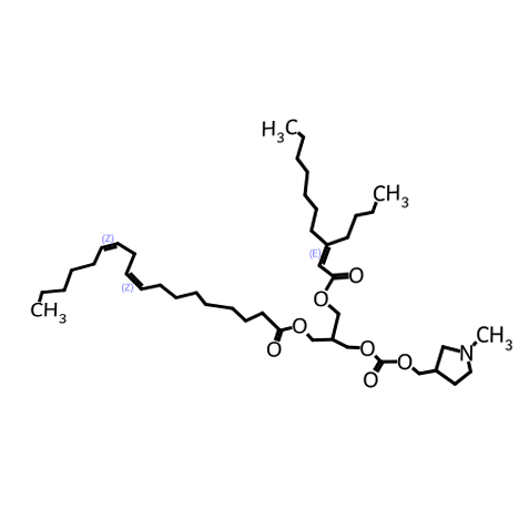 CCCCC/C=C\C/C=C\CCCCCCCC(=O)OCC(COC(=O)/C=C(\CCCC)CCCCCCC)COC(=O)OCC1CCN(C)C1